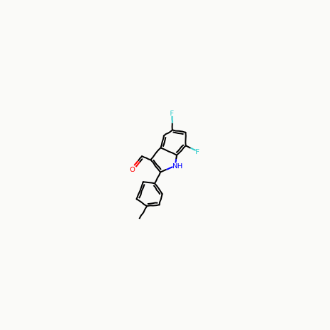 Cc1ccc(-c2[nH]c3c(F)cc(F)cc3c2C=O)cc1